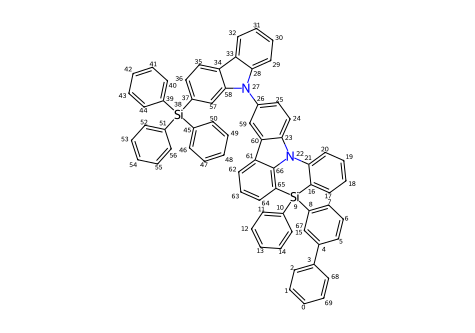 c1ccc(-c2cccc([Si]3(c4ccccc4)c4ccccc4-n4c5ccc(-n6c7ccccc7c7ccc([Si](c8ccccc8)(c8ccccc8)c8ccccc8)cc76)cc5c5cccc3c54)c2)cc1